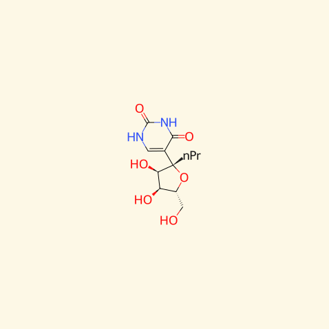 CCC[C@@]1(c2c[nH]c(=O)[nH]c2=O)O[C@H](CO)[C@@H](O)[C@H]1O